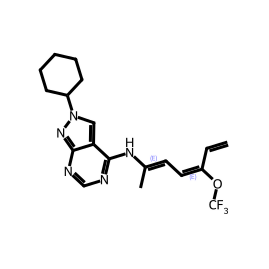 C=C/C(=C\C=C(/C)Nc1ncnc2nn(C3CCCCC3)cc12)OC(F)(F)F